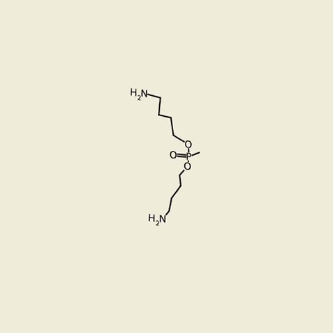 CP(=O)(OCCCCN)OCCCCN